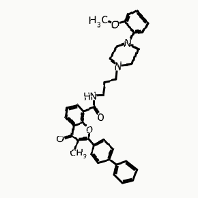 COc1ccccc1N1CCN(CCCNC(=O)c2cccc3c(=O)c(C)c(-c4ccc(-c5ccccc5)cc4)oc23)CC1